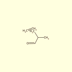 C=C.CC(C)C=O